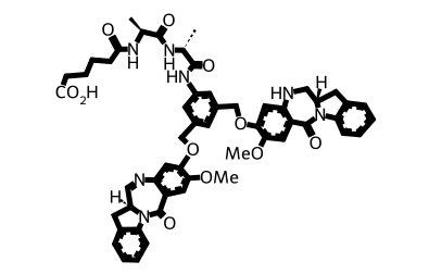 COc1cc2c(cc1OCc1cc(COc3cc4c(cc3OC)C(=O)N3c5ccccc5C[C@H]3CN4)cc(NC(=O)[C@@H](C)NC(=O)[C@H](C)NC(=O)CCCCC(=O)O)c1)N=C[C@@H]1Cc3ccccc3N1C2=O